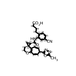 Cc1nnc(C2C=CC3=C(C=C2)[C@]2(CCO3)C[C@H]2C(=O)Nc2cc(C#N)ccc2CCCC(=O)O)o1